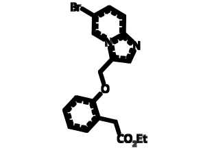 CCOC(=O)Cc1ccccc1OCc1cnc2ccc(Br)cn12